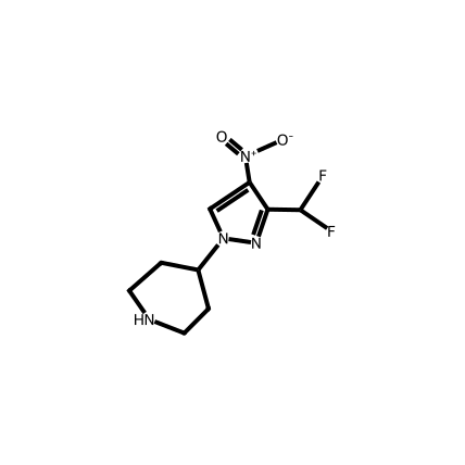 O=[N+]([O-])c1cn(C2CCNCC2)nc1C(F)F